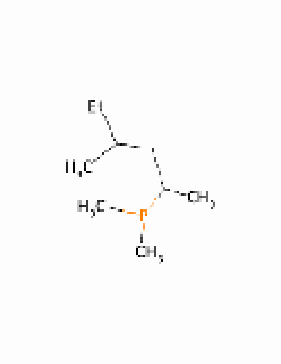 CCC(C)CC(C)P(C)C